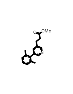 COC(=O)CCc1cncc(-c2c(C)cccc2C)c1